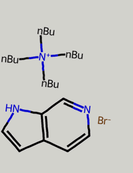 CCCC[N+](CCCC)(CCCC)CCCC.[Br-].c1cc2cc[nH]c2cn1